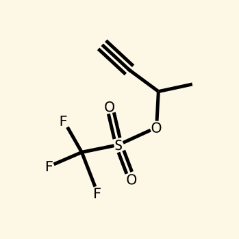 C#CC(C)OS(=O)(=O)C(F)(F)F